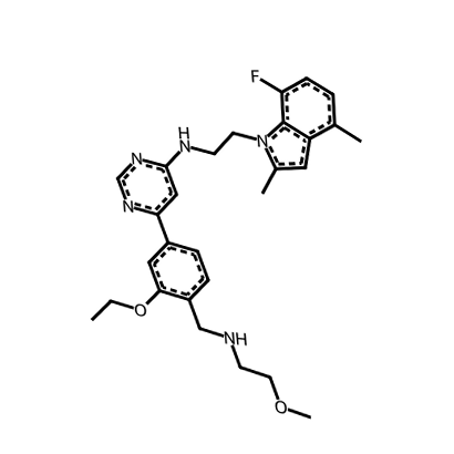 CCOc1cc(-c2cc(NCCn3c(C)cc4c(C)ccc(F)c43)ncn2)ccc1CNCCOC